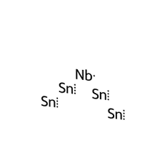 [Nb].[Sn].[Sn].[Sn].[Sn]